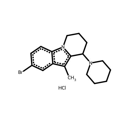 Cc1c2n(c3ccc(Br)cc13)CCCC2N1CCCCC1.Cl